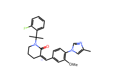 COc1cc(/C=C2/CCCN(C(C)(C)c3ccccc3F)C2=O)ccc1-n1cnc(C)c1